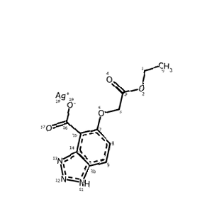 CCOC(=O)COc1ccc2[nH]nnc2c1C(=O)[O-].[Ag+]